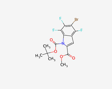 COC(=O)c1cc2c(F)c(Br)c(F)c(F)c2n1C(=O)OC(C)(C)C